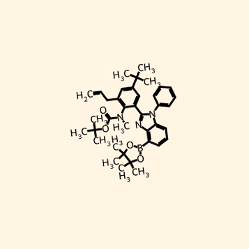 C=CCc1cc(C(C)(C)C)cc(-c2nc3c(B4OC(C)(C)C(C)(C)O4)cccc3n2-c2ccccc2)c1N(C)C(=O)OC(C)(C)C